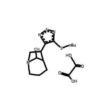 CCCCSc1nsnc1C1CN2CCCC1C2C.O=C(O)C(=O)O